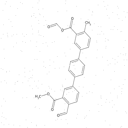 COC(=O)c1cc(-c2ccc(-c3ccc(C)c(C(=O)OC=O)c3)cc2)ccc1C=O